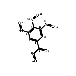 O=NC(=O)c1cc(N=O)c(N=O)c(N=O)c1